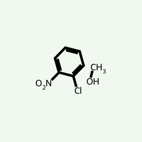 CO.O=[N+]([O-])c1ccccc1Cl